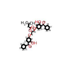 CC(C)=CC(=O)OC(COc1ccc(C(=O)c2ccccc2)c(O)c1)COc1ccc(C(=O)c2ccccc2)c(O)c1